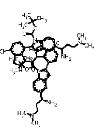 CN(C)CCC(N)c1ccc2c(c1)cc(-c1ccc(Cl)c3c1C(C(=O)C1NCc4c(Cl)ccc(-c5cc6cc(C(N)CCN(C)C)ccc6n5C(=O)OC(C)(C)C)c41)NC3)n2C(=O)OC(C)(C)C